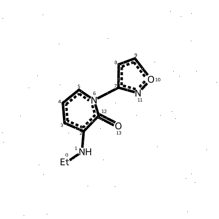 CCNc1cccn(-c2ccon2)c1=O